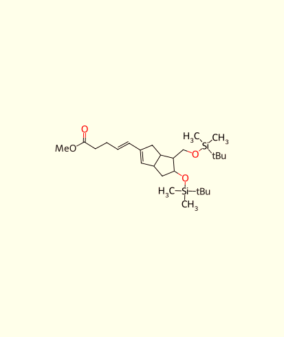 COC(=O)CC/C=C/C1=CC2CC(O[Si](C)(C)C(C)(C)C)C(CO[Si](C)(C)C(C)(C)C)C2C1